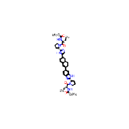 COC(=O)N[C@@H](CC(C)C)C(=O)N1CCC[C@H]1c1ncc(-c2ccc3cc(-c4ccc5nc([C@@H]6CCCN6C(=O)[C@H](CC(C)C)NC(=O)OC)[nH]c5c4)ccc3c2)[nH]1